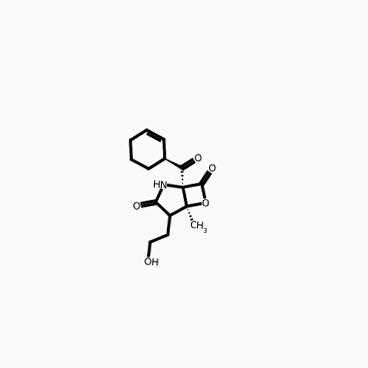 C[C@@]12OC(=O)[C@]1(C(=O)[C@@H]1C=CCCC1)NC(=O)C2CCO